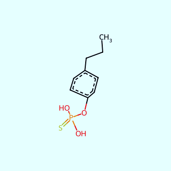 CCCc1ccc(OP(O)(O)=S)cc1